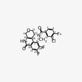 CN(C(=O)c1ccc(F)c(Cl)c1)[C@H]1COCc2[nH]c(=O)c3cc(F)c(F)cc3c21